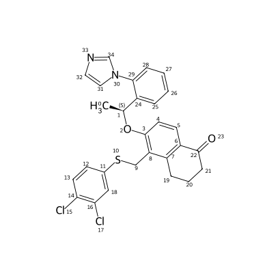 C[C@H](Oc1ccc2c(c1CSc1ccc(Cl)c(Cl)c1)CCCC2=O)c1ccccc1-n1ccnc1